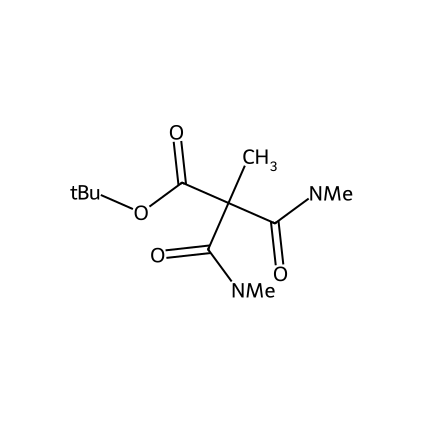 CNC(=O)C(C)(C(=O)NC)C(=O)OC(C)(C)C